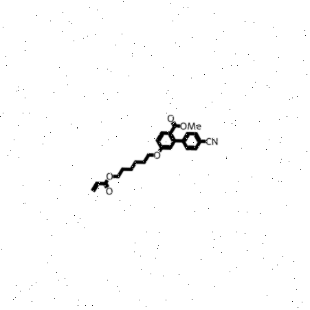 C=CC(=O)OCCCCCCOc1ccc(C(=O)OC)c(-c2ccc(C#N)cc2)c1